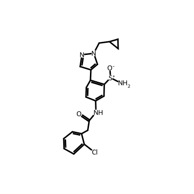 N[S+]([O-])c1cc(NC(=O)Cc2ccccc2Cl)ccc1-c1cnn(CC2CC2)c1